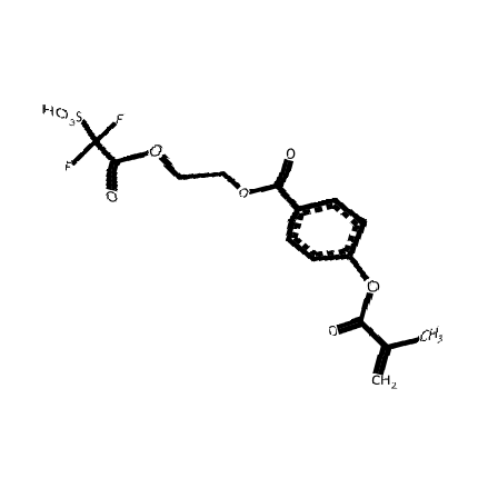 C=C(C)C(=O)Oc1ccc(C(=O)OCCOC(=O)C(F)(F)S(=O)(=O)O)cc1